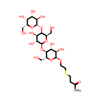 COC(=O)CCSCCO[C@H]1O[C@H](CO)[C@@H](O[C@@H]2O[C@H](CO)[C@H](O[C@@H]3O[C@H](CO)[C@H](O)[C@H](O)[C@H]3O)[C@H](O)[C@H]2O)[C@H](O)[C@H]1O